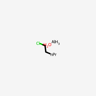 CCCCCCl.O.[AlH3]